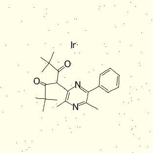 Cc1nc(C)c(C(C(=O)C(C)(C)C)C(=O)C(C)(C)C)nc1-c1ccccc1.[Ir]